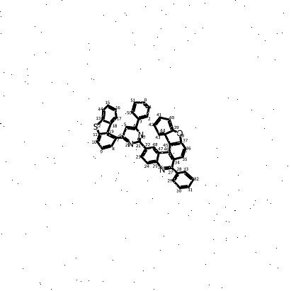 c1ccc(-c2cc(-c3cccc4sc5ccccc5c34)nc(-c3ccc4nc(-c5ccccc5)c5ccc6oc7ccccc7c6c5c4c3)n2)cc1